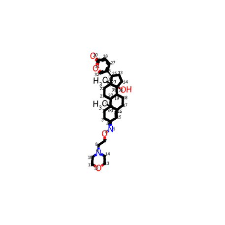 C[C@]12CCC(=NOCCN3CCOCC3)C=C1CCC1C2CC[C@]2(C)[C@@H](c3ccc(=O)oc3)CC[C@]12O